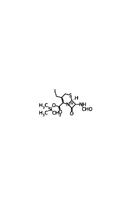 C[Si](C)(C)OC(=O)C1=C(CI)CS[C@H]2C(NC=O)C(=O)N12